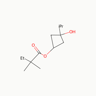 CCC(C)(C)C(=O)OC1CC(O)(C(C)C)C1